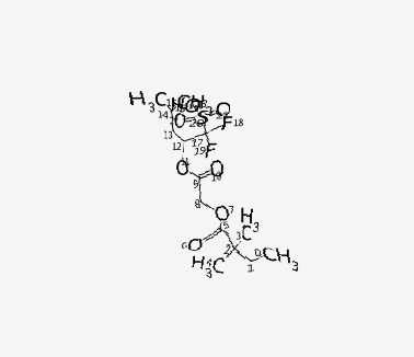 CCC(C)(C)C(=O)OCC(=O)OC(CC(C)C)C(F)(F)S(=O)(=O)O